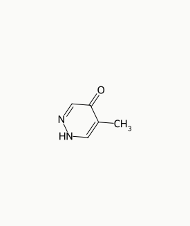 Cc1c[nH]ncc1=O